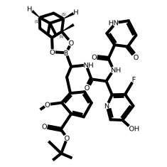 COc1c(CC(NC(=O)C(NC(=O)c2c[nH]ccc2=O)c2ncc(O)cc2F)B2OC3C[C@@H]4C[C@@H](C4(C)C)[C@]3(C)O2)cccc1C(=O)OC(C)(C)C